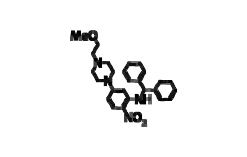 COCCN1CCN(c2ccc([N+](=O)[O-])c(NC(c3ccccc3)c3ccccc3)c2)CC1